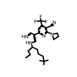 CCCC(CCCC(C)(C)C)N/C=C(\C=N)c1cc(C(F)(F)F)c(C#N)c(N2CCC2)n1